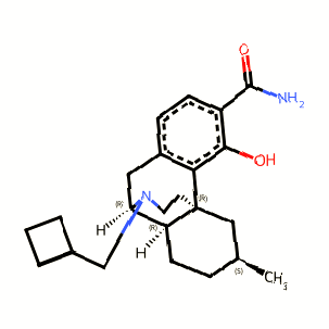 C[C@H]1CC[C@H]2[C@H]3Cc4ccc(C(N)=O)c(O)c4[C@@]2(CCN3CC2CCC2)C1